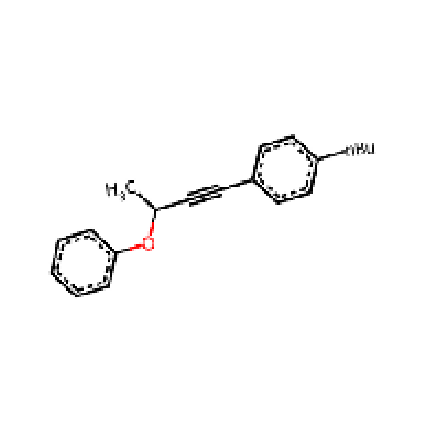 CCCCc1ccc(C#CC(C)Oc2ccccc2)cc1